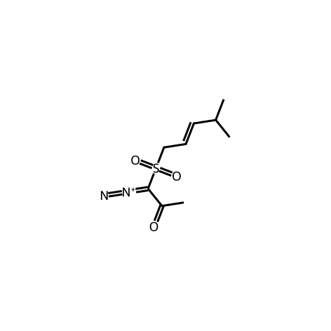 CC(=O)C(=[N+]=[N-])S(=O)(=O)CC=CC(C)C